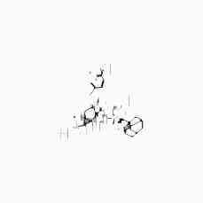 C[C@@H](OC(=O)C12CC3CC(CC(C3)C1)C2)OC(=O)[C@@]1(N)[C@H]2[C@@H](C[C@H]1OCc1ccc(Cl)nc1)[C@]2(F)C(=O)O